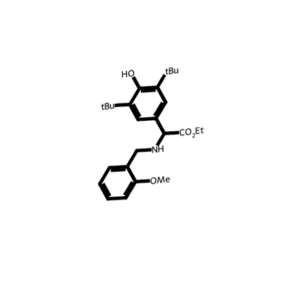 CCOC(=O)C(NCc1ccccc1OC)c1cc(C(C)(C)C)c(O)c(C(C)(C)C)c1